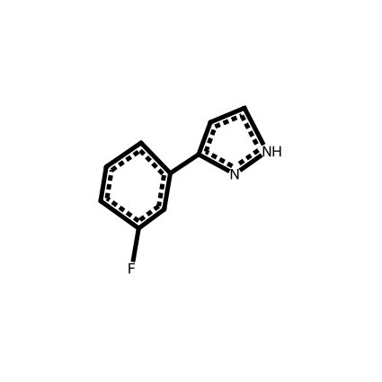 Fc1cccc(-c2cc[nH]n2)c1